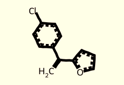 C=C(c1ccc(Cl)cc1)c1ccco1